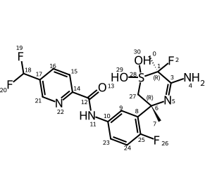 C[C@]1(F)C(N)=N[C@](C)(c2cc(NC(=O)c3ccc(C(F)F)cn3)ccc2F)CS1(O)O